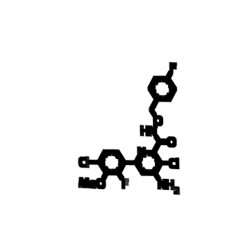 COc1c(Cl)ccc(-c2cc(N)c(Cl)c(C(=O)NOCc3ccc(F)cc3)n2)c1F